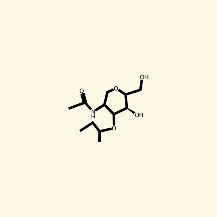 CCC(C)OC1C(NC(C)=O)COC(CO)[C@H]1O